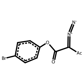 CC(=O)C(=[N+]=[N-])C(=O)Oc1ccc(Br)cc1